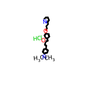 CN(C)c1ccc(/C=C/c2cc3ccc(OCCCc4ccccn4)cc3o2)cc1.Cl